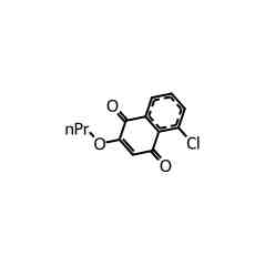 CCCOC1=CC(=O)c2c(Cl)cccc2C1=O